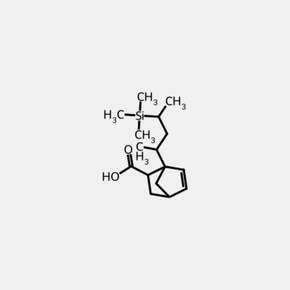 CC(CC(C)[Si](C)(C)C)C12C=CC(CC1C(=O)O)C2